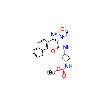 CC(C)(C)OC(=O)NC1CC(NC(=O)c2c(-c3ccc4ccccc4c3)nc3occn23)C1